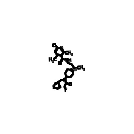 Cc1cc(Cl)nc(C)c1C(=O)NCC[C@@H](C)N1CCC(N(Cc2ccsc2)C(=O)CF)CC1